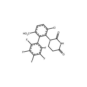 O=C1CCN(c2c(Cl)ccc(C(=O)O)c2-c2c(F)c(F)c(F)c(F)c2F)C(=O)N1